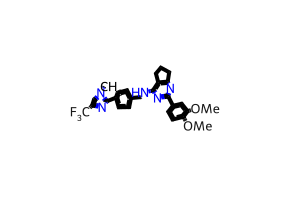 COc1ccc(-c2nc3c(c(NCc4ccc(-c5nc(C(F)(F)F)cn5C)cc4)n2)CCC3)cc1OC